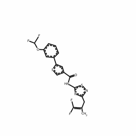 CC(Cc1nsc(NC(=O)c2csc(-c3cccc(OC(F)F)c3)c2)n1)=C(F)F